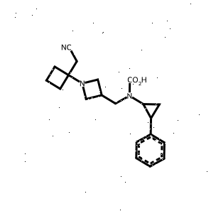 N#CCC1(N2CC(CN(C(=O)O)C3CC3c3ccccc3)C2)CCC1